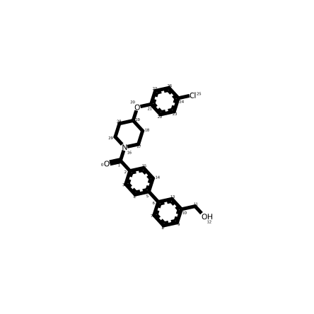 O=C(c1ccc(-c2cccc(CO)c2)cc1)N1CCC(Oc2ccc(Cl)cc2)CC1